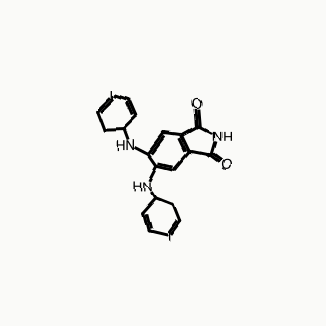 O=C1NC(=O)c2cc(NC3C=CI=CC3)c(NC3C=CI=CC3)cc21